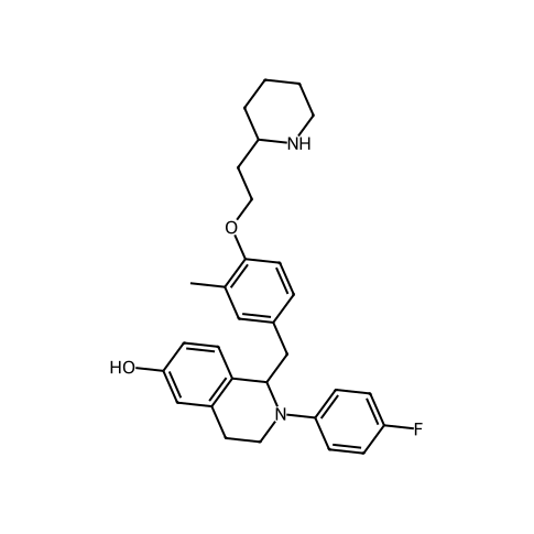 Cc1cc(CC2c3ccc(O)cc3CCN2c2ccc(F)cc2)ccc1OCCC1CCCCN1